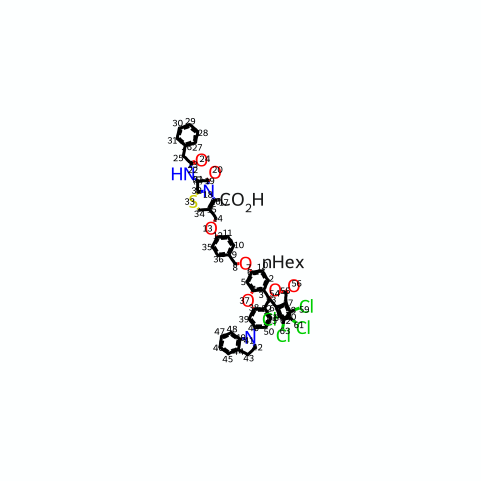 CCCCCCc1cc2c(cc1OCc1ccc(OCC3=C(C(=O)O)N4C(=O)[C@H](NC(=O)Cc5ccccc5)C4SC3)cc1)Oc1cc(N3CCc4ccccc43)ccc1C21OC(=O)c2c(Cl)c(Cl)c(Cl)c(Cl)c21